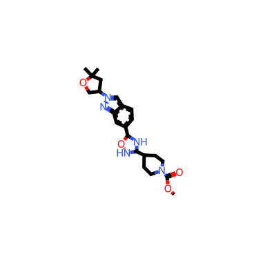 COC(=O)N1CCC(C2NOC(c3ccc4cn(C5COC(C)(C)C5)nc4c3)N2)CC1